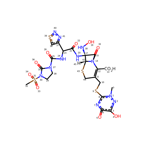 Cn1nc(O)c(=O)nc1SCC1=C(C(=O)O)N2C(=O)[C@@](NO)(NC(=O)C(NC(=O)N3CCN(S(C)(=O)=O)C3=O)c3csnn3)[C@H]2SC1